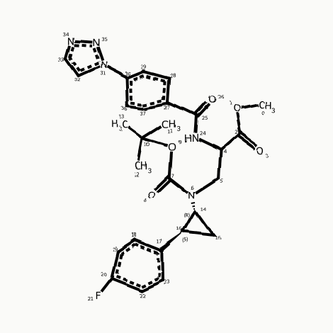 COC(=O)C(CN(C(=O)OC(C)(C)C)[C@@H]1C[C@H]1c1ccc(F)cc1)NC(=O)c1ccc(-n2ccnn2)cc1